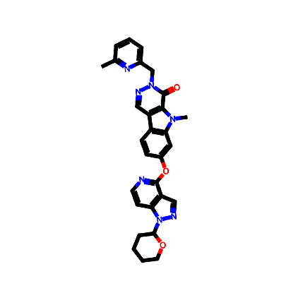 Cc1cccc(Cn2ncc3c4ccc(Oc5nccc6c5cnn6C5CCCCO5)cc4n(C)c3c2=O)n1